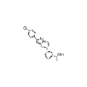 CC(O)c1cccc(-c2ccn3nc(-c4ccc(Cl)cc4)cc3c2)c1